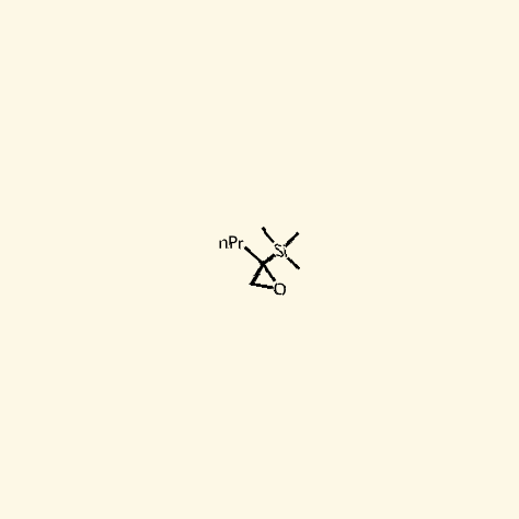 CCCC1([Si](C)(C)C)CO1